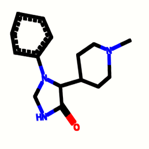 CN1CCC(C2C(=O)NCN2c2ccccc2)CC1